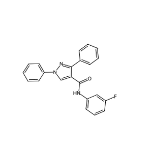 O=C(Nc1cccc(F)c1)c1cn(-c2ccccc2)nc1-c1cc[c]cc1